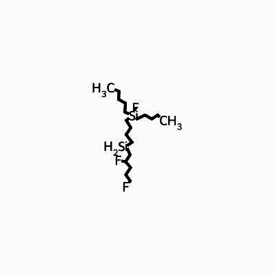 CCCCC[Si](F)(CCCCC)CCCC[SiH2]CC(F)CCCF